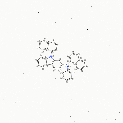 C1=c2c(n(-c3cccc4ccccc34)c3ccccc23)=CC2C1c1ccccc1N2c1cccc2ccccc12